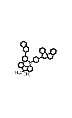 CC1(C)c2ccccc2-c2c(N(c3ccc(-c4cc5ccc6ccccc6c5c5ccccc45)cc3)c3cccc(-c4ccc5ccccc5c4)c3)cccc21